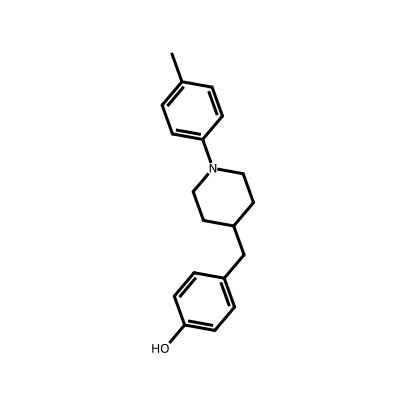 Cc1ccc(N2CCC(Cc3ccc(O)cc3)CC2)cc1